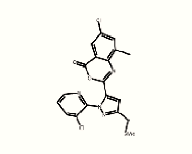 CSCc1cc(-c2nc3c(C)cc(Cl)cc3c(=O)o2)n(-c2ncccc2Cl)n1